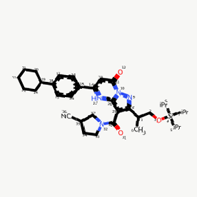 CC(CO[Si](C(C)C)(C(C)C)C(C)C)c1nn2c(=O)cc(-c3ccc(C4CCCCC4)cc3)[nH]c2c1C(=O)N1CCC(C#N)C1